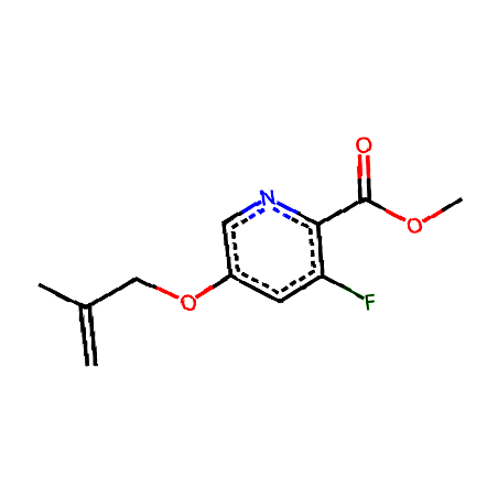 C=C(C)COc1cnc(C(=O)OC)c(F)c1